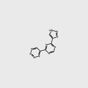 c1nc(-c2cnnnn2)nc(-c2c[nH]nn2)n1